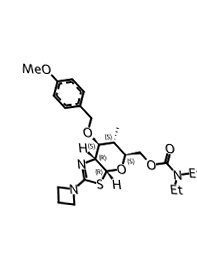 CCN(CC)C(=O)OC[C@H]1O[C@@H]2SC(N3CCC3)=N[C@@H]2[C@@H](OCc2ccc(OC)cc2)[C@@H]1C